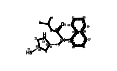 CC(C)CC(=O)N(C[C@@H]1C[C@H](S)CN1)c1cccc2ccccc12